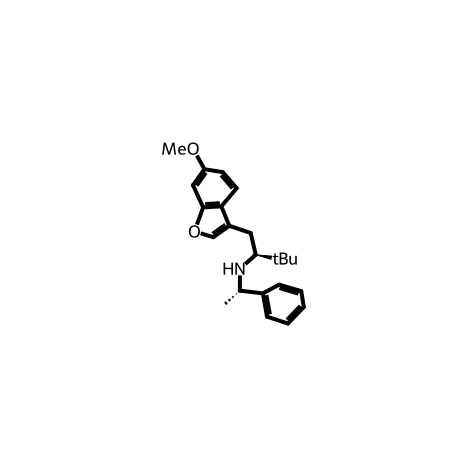 COc1ccc2c(C[C@H](N[C@@H](C)c3ccccc3)C(C)(C)C)coc2c1